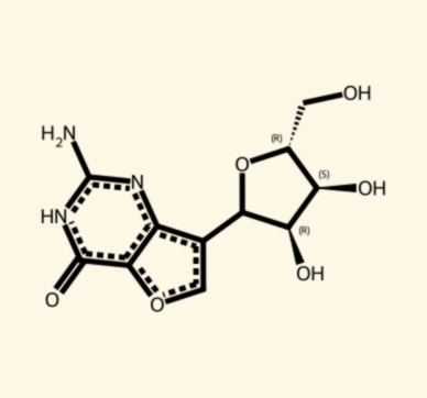 Nc1nc2c(C3O[C@H](CO)[C@@H](O)[C@H]3O)coc2c(=O)[nH]1